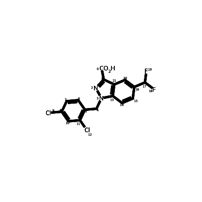 O=C(O)c1nn(Cc2ccc(Cl)cc2Cl)c2ccc(C(F)F)cc12